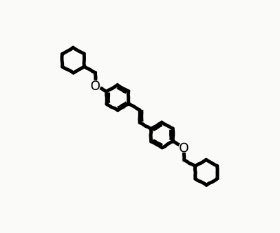 C(=C\c1ccc(OCC2CCCCC2)cc1)/c1ccc(OCC2CCCCC2)cc1